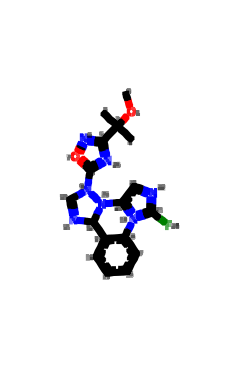 COC(C)(C)c1noc(N2C=NC3c4ccccc4-n4c(cnc4F)N32)n1